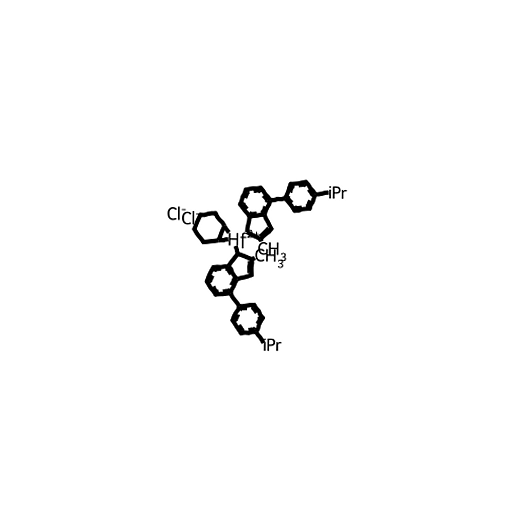 CC1=Cc2c(-c3ccc(C(C)C)cc3)cccc2[CH]1[Hf+2]1([CH]2C(C)=Cc3c(-c4ccc(C(C)C)cc4)cccc32)[CH]2CCCC[CH]21.[Cl-].[Cl-]